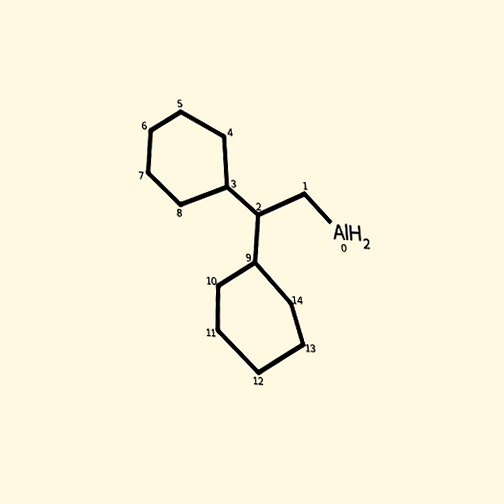 [AlH2][CH2]C(C1CCCCC1)C1CCCCC1